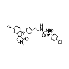 CN1CCc2c(n(-c3ccc(CCNC(=O)NS(=O)(=O)c4ccc(Cl)cc4)cc3)c3ccc(C4CC4)cc23)C1=O